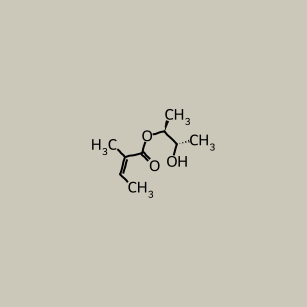 CC=C(C)C(=O)O[C@@H](C)[C@H](C)O